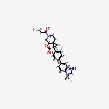 CCC(=O)N1CCC2(CC1)C[C@]2(C(=O)O)c1ccc(-c2ccc3c(c2)NCN3C)cc1F